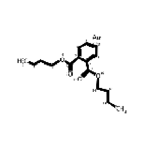 CCCCOC(=O)c1ccccc1C(=O)OCCCC.[Au]